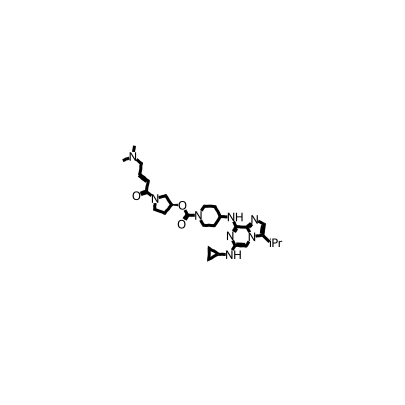 CC(C)c1cnc2c(NC3CCN(C(=O)O[C@H]4CCN(C(=O)/C=C/CN(C)C)C4)CC3)nc(NC3CC3)cn12